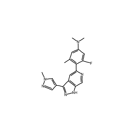 Cc1cc(N(C)C)cc(F)c1-c1cc2c(-c3cnn(C)c3)n[nH]c2cn1